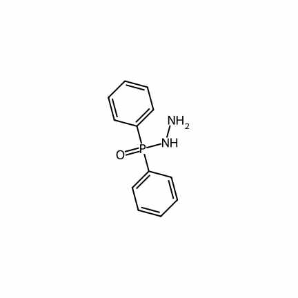 NNP(=O)(c1ccccc1)c1ccccc1